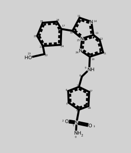 NS(=O)(=O)c1ccc(CNc2ccc3ncc(-c4cccc(CO)c4)n3n2)cc1